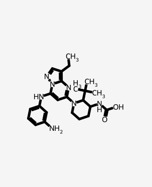 CCc1cnn2c(Nc3cccc(N)c3)cc(N3CCCC(NC(=O)O)C3C(C)(C)C)nc12